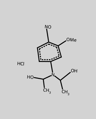 COc1cc(N(C(C)O)C(C)O)ccc1N=O.Cl